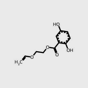 C=COCCOC(=O)c1cc(O)ccc1O